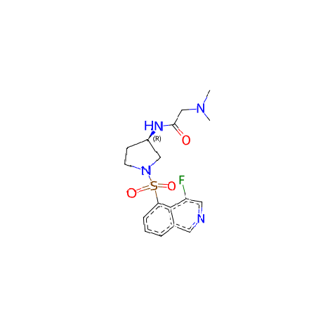 CN(C)CC(=O)N[C@@H]1CCN(S(=O)(=O)c2cccc3cncc(F)c23)C1